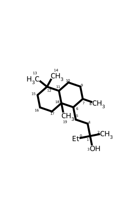 CCC(C)(O)CCC1C(C)CCC2C(C)(C)CCCC12C